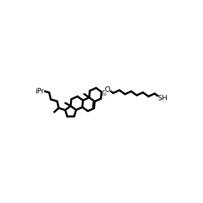 CC(C)CCCC(C)C1CCC2C3CC=C4C[C@@H](OCCCCCCCCS)CCC4(C)C3CCC12C